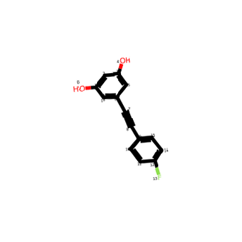 Oc1cc(O)cc(C#Cc2ccc(F)cc2)c1